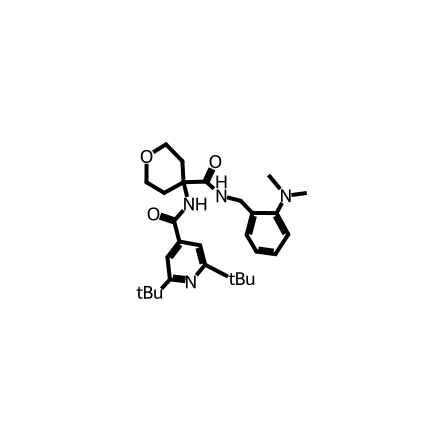 CN(C)c1ccccc1CNC(=O)C1(NC(=O)c2cc(C(C)(C)C)nc(C(C)(C)C)c2)CCOCC1